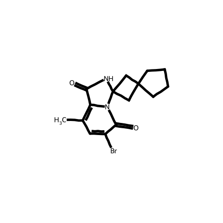 Cc1cc(Br)c(=O)n2c1C(=O)NC21CC2(CCCC2)C1